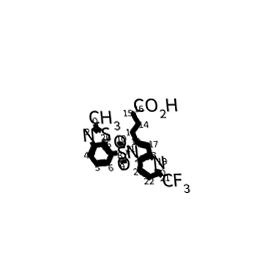 Cc1nc2cccc(S(=O)(=O)n3c(CCCC(=O)O)cc4nc(C(F)(F)F)ccc43)c2s1